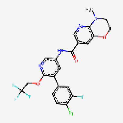 CN1CCOc2cc(C(=O)Nc3cnc(OCC(F)(F)F)c(-c4ccc(Cl)c(F)c4)c3)cnc21